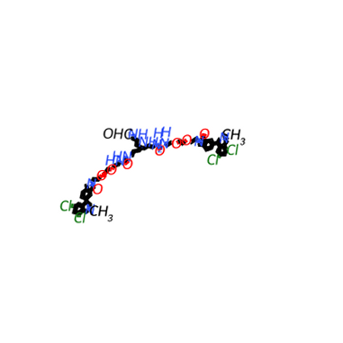 CN1Cc2c(Cl)cc(Cl)cc2C(c2ccc3c(c2)C(=O)N(CCOCCOCCNC(=O)NCCCC(N)(CCCNC=O)CCCNC(=O)NCCOCCOCCN2Cc4ccc(C5CN(C)Cc6c(Cl)cc(Cl)cc65)cc4C2=O)C3)C1